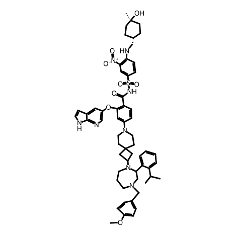 COc1ccc(CN2CCCN(C3CC4(CCN(c5ccc(C(=O)NS(=O)(=O)c6ccc(NC[C@H]7CC[C@](C)(O)CC7)c([N+](=O)[O-])c6)c(Oc6cnc7[nH]ccc7c6)c5)CC4)C3)C(c3ccccc3C(C)C)C2)cc1